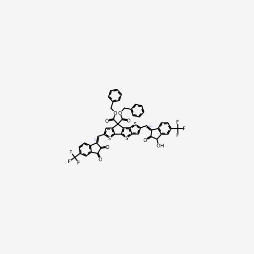 O=C1C(=O)c2cc(C(F)(F)F)ccc2/C1=C/c1cc2c(s1)-c1sc3cc(/C=C4\C(=O)C(O)c5cc(C(F)(F)F)ccc54)sc3c1C2(C(=O)OCc1ccccc1)C(=O)OCc1ccccc1